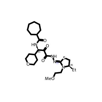 CC[C@@H]1CS/C(=N\NC(=O)C(=O)[C@H](NC(=O)C2CCCCCC2)C2CCOCC2)N1CCOC